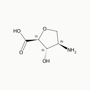 N[C@@H]1CO[C@H](C(=O)O)[C@H]1O